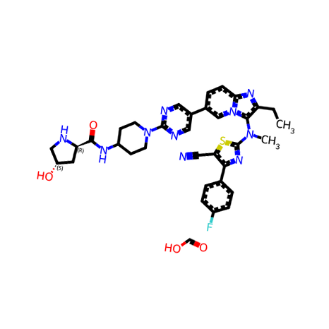 CCc1nc2ccc(-c3cnc(N4CCC(NC(=O)[C@H]5C[C@H](O)CN5)CC4)nc3)cn2c1N(C)c1nc(-c2ccc(F)cc2)c(C#N)s1.O=CO